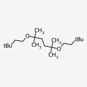 CC(C)(C)CCOC(C)(C)CCC(C)(C)OCCC(C)(C)C